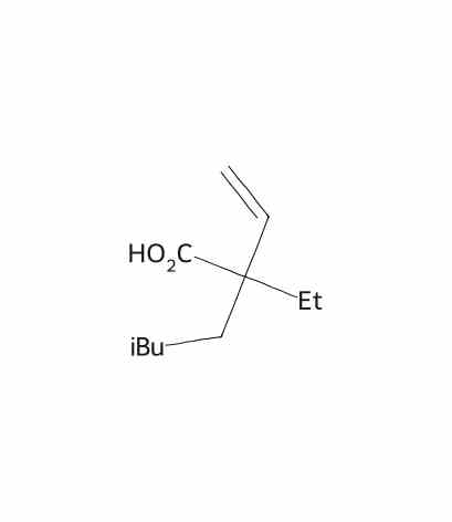 C=CC(CC)(CC(C)CC)C(=O)O